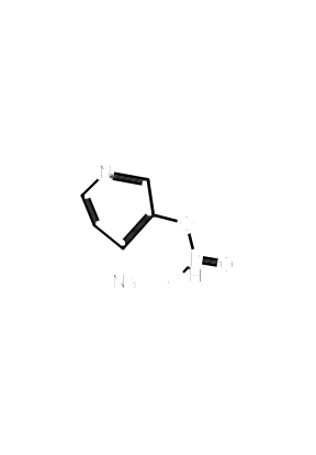 O=[PH]([O-])Oc1cccnc1.[Na+]